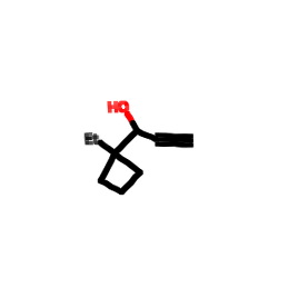 C#CC(O)C1(CC)CCC1